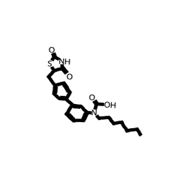 CCCCCCCN(C(=O)O)c1cccc(-c2ccc(CC3SC(=O)NC3=O)cc2)c1